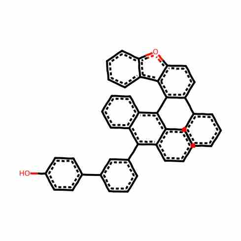 Oc1ccc(-c2cccc(-c3c4ccccc4c(-c4c(-c5ccccc5)ccc5oc6ccccc6c45)c4ccccc34)c2)cc1